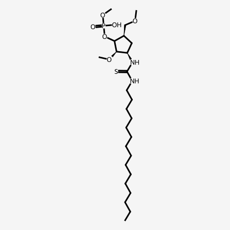 CCCCCCCCCCCCCCCNC(=S)N[C@@H]1C[C@H](COC)C(OP(=O)(O)OC)[C@@H]1OC